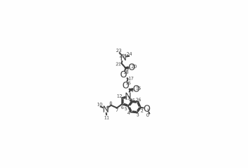 COc1ccc2c(CCN(C)C)cn(C(=O)OCOC(=O)CN(C)C)c2c1